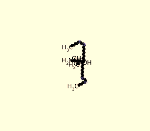 CCCCC/C=C\C/C=C\CCCCCCCCC(O)(CCCCCCCC/C=C\C/C=C\CCCCC)O[C@H](CC)C[C@H](O)[C@H](O)CN